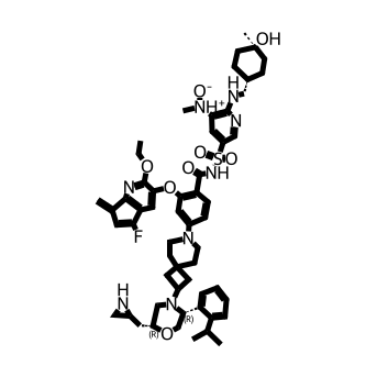 C=C1C=C(F)c2cc(Oc3cc(N4CCC5(CC4)CC(N4C[C@@H](CC6CN6)OC[C@H]4c4ccccc4C(C)C)C5)ccc3C(=O)NS(=O)(=O)c3cnc(NC[C@H]4CC[C@](C)(O)CC4)c([NH+](C)[O-])c3)c(OCC)nc21